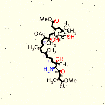 CC[C@H](OC)[C@@H](C)[C@H]1O[C@@H]1C(N)C(C)(O)/C=C/C=C(\C)C[C@@H](C)/C=C/[C@H](OC(C)=O)[C@](C)(O)CC[C@H](CC(=O)OC)CC(C)(C)[Si](C)(C)O